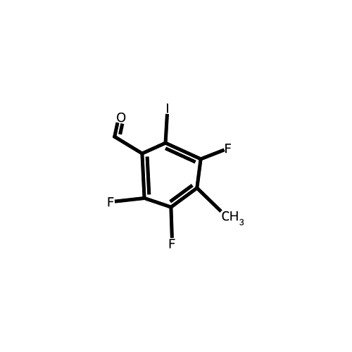 Cc1c(F)c(F)c(C=O)c(I)c1F